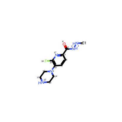 CCNNC(=O)c1ccc(N2CCNCC2)c(F)n1